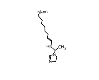 CCCCCCCCCCCCCCCC=CNC(C)N1C=NCC1